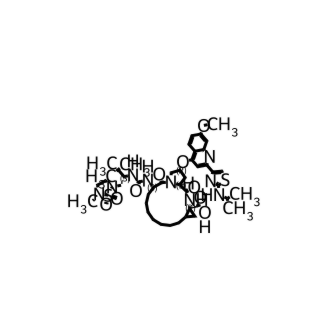 COc1ccc2c(O[C@@H]3C[C@H]4C(=O)N[C@]5(C(=O)O)CC5CCCCCCC[C@H](NC(=O)N[C@H](CN5CCN(C)S5(=O)=O)C(C)(C)C)C(=O)N4C3)cc(-c3csc(NC(C)C)n3)nc2c1